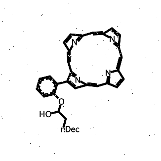 CCCCCCCCCCCC(O)Oc1ccccc1C1=CC2=CC3=NC(=CC4=NC(=CC5=NC(=CC1=N2)C=C5)C=C4)C=C3